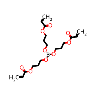 C=CC(=O)OCCCOB(OCCCOC(=O)C=C)OCCCOC(=O)C=C